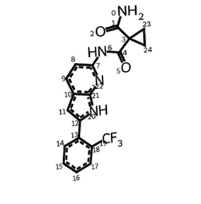 NC(=O)C1(C(=O)Nc2ccc3cc(-c4ccccc4C(F)(F)F)[nH]c3n2)CC1